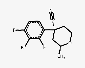 C[C@H]1C[C@@](C#N)(c2ccc(F)c(Br)c2F)CCO1